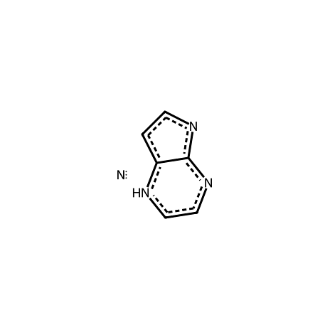 [N].c1c[nH]c2ccnc-2n1